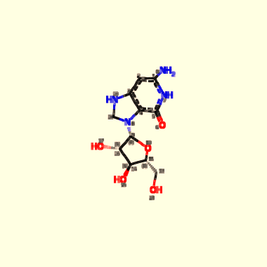 Nc1cc2c(c(=O)[nH]1)N([C@@H]1O[C@H](CO)[C@@H](O)[C@@H]1O)CN2